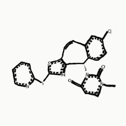 Cn1ccc(=O)n([C@H]2c3ccc(Cl)cc3C=Cc3sc(Sc4ccccn4)nc32)c1=O